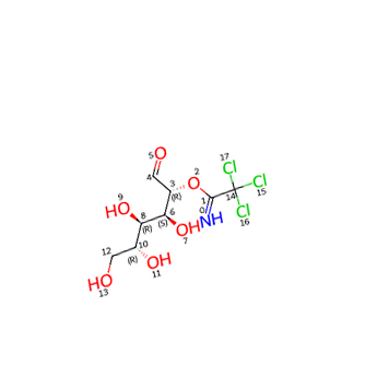 N=C(O[C@@H](C=O)[C@@H](O)[C@H](O)[C@H](O)CO)C(Cl)(Cl)Cl